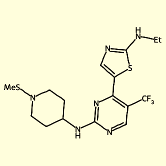 CCNc1ncc(-c2nc(NC3CCN(SC)CC3)ncc2C(F)(F)F)s1